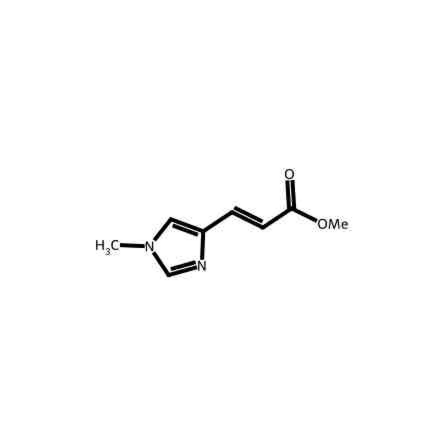 COC(=O)C=Cc1cn(C)cn1